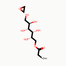 C1CO1.CCCCCCCCCCCC(=O)OC[C@H](O)[C@@H](O)[C@H](O)[C@H](O)CO